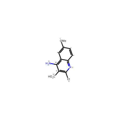 CCc1nc2ccc(OC)cc2c(N)c1C(=O)O